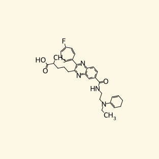 CCN(CCNC(=O)c1ccc2nc(C3=CCC=C(F)C=C3)c(CCCC(C)C(=O)O)nc2c1)C1=CCCC=C1